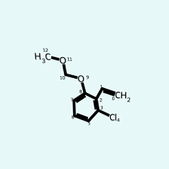 C=Cc1c(Cl)cccc1OCOC